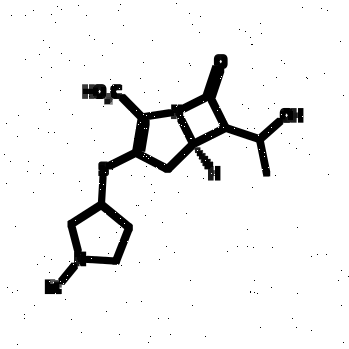 CCN1CCC(SC2=C(C(=O)O)N3C(=O)C(C(C)O)[C@H]3C2)C1